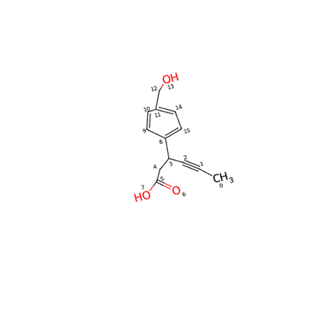 CC#CC(CC(=O)O)c1ccc(CO)cc1